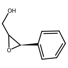 OCC1O[C@@H]1c1ccccc1